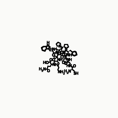 CC(C)[C@H](NC(=O)[C@H](Cc1c[nH]c2ccccc12)NC(=O)[C@@H]1CCCN1C(=O)[C@@H]1CCCN1C(=O)[C@H](Cc1ccccc1)NC(=O)[C@H](CO)NC(=O)CNC(=O)[C@@H](N)CS)C(=O)N[C@@H](CCCCN)C(=O)N[C@@H](CCC(N)=O)C(=O)O